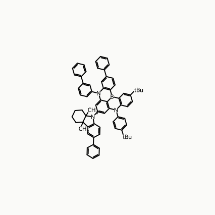 CC(C)(C)c1ccc(N2c3ccc(C(C)(C)C)cc3B3c4ccc(-c5ccccc5)cc4N(c4cccc(-c5ccccc5)c4)c4cc(N5c6ccc(-c7ccccc7)cc6C6(C)CCCCC56C)cc2c43)cc1